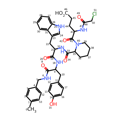 Cc1ccc(CNC(=O)C(Cc2ccc(O)cc2)NC(=O)C(Cc2c[nH]c3ccccc23)NC(=O)C2CCCCN2C(=O)C(CCC(=O)O)NC(=O)CCl)cc1